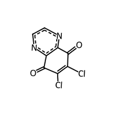 O=C1C(Cl)=C(Cl)C(=O)c2nccnc21